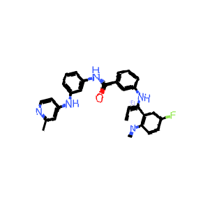 C=NC1=C(/C(=C\C)Nc2cccc(C(=O)Nc3cccc(Nc4ccnc(C)c4)c3)c2)CC(F)CC1